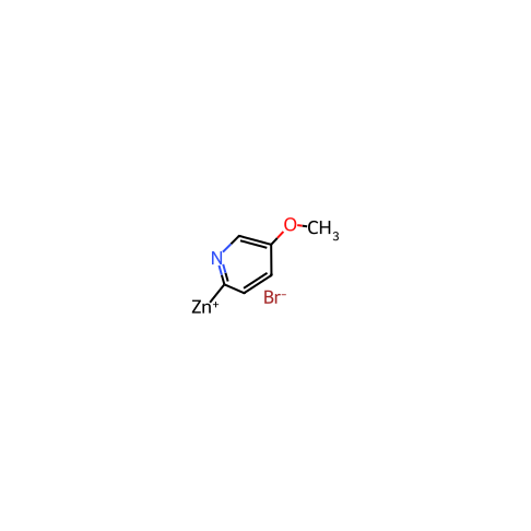 COc1cc[c]([Zn+])nc1.[Br-]